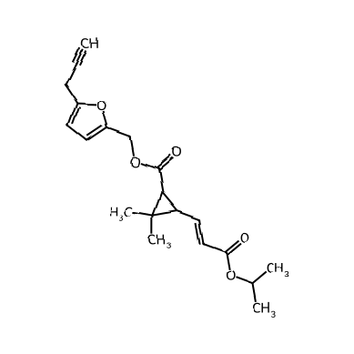 C#CCc1ccc(COC(=O)C2C(/C=C/C(=O)OC(C)C)C2(C)C)o1